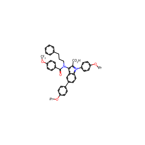 CC(C)Oc1ccc(-c2ccc3c(c2)c(N(CCCc2ccccc2)C(=O)c2ccc(OC(F)(F)F)cc2)c(C(=O)O)n3-c2ccc(OC(C)C)cc2)cc1